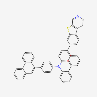 c1ccc(-c2ccccc2N(c2ccc(-c3ccc4c(c3)sc3cnccc34)cc2)c2ccc(-c3cc4ccccc4c4ccccc34)cc2)cc1